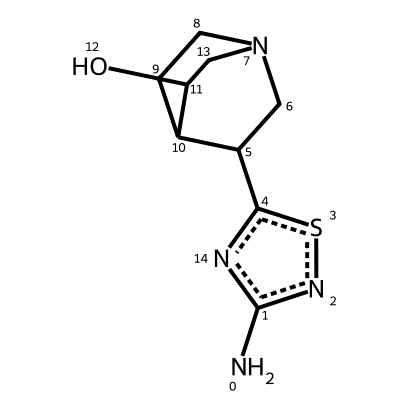 Nc1nsc(C2CN3CCC2C(O)C3)n1